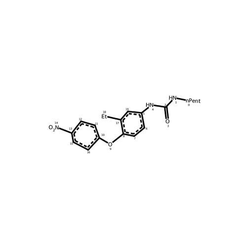 CCCCCNC(=O)Nc1ccc(Oc2ccc([N+](=O)[O-])cc2)c(CC)c1